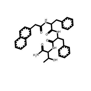 CC(O)C(NC(=O)C(Cc1ccccc1)NC(=O)C(Cc1ccccc1)NC(=O)Cc1ccc2ccccc2c1)C(N)=O